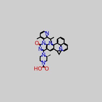 Cc1ccnc(C(C)C)c1-n1c(=O)nc(N2CCN(C(=O)O)C[C@@H]2C)c2cc(C3CC3)c(-c3cccc4cccnc34)nc21